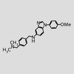 COc1ccc(-n2cnc3cc(NCc4ccc(CN(C)C)cc4)ccc32)cc1